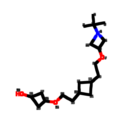 CC(C)(C)N1CC(OCCC2CC(CCOC3CC(O)C3)C2)C1